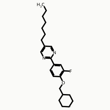 CCCCCCCc1cnc(-c2ccc(OCC3CC[CH]CC3)c(F)c2)nc1